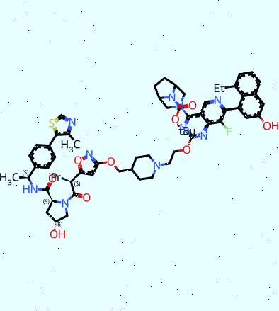 CCc1cccc2cc(O)cc(-c3ncc4c(N5CC6CCC(C5)N6C(=O)OC(C)(C)C)nc(OCCN5CCC(COc6cc([C@@H](C(=O)N7C[C@H](O)C[C@H]7C(=O)N[C@@H](C)c7ccc(-c8scnc8C)cc7)C(C)C)on6)CC5)nc4c3F)c12